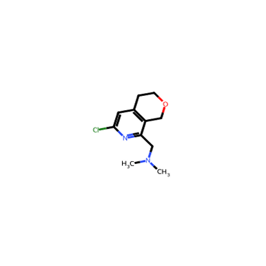 CN(C)Cc1nc(Cl)cc2c1COCC2